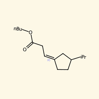 CCCCOC(=O)C/C=C1/CCC(C(C)C)C1